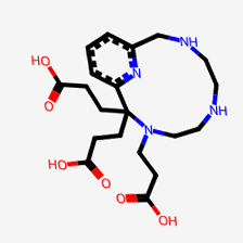 O=C(O)CCN1CCNCCNCc2cccc(n2)C1(CCC(=O)O)CCC(=O)O